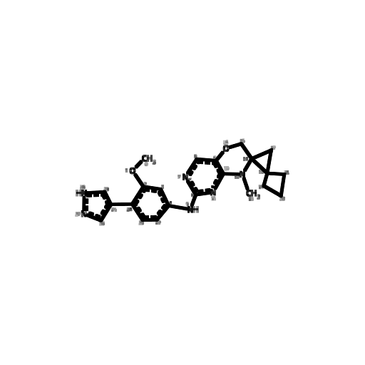 COc1cc(Nc2ncc3c(n2)N(C)C2(CO3)CC23CCC3)ccc1-c1cn[nH]c1